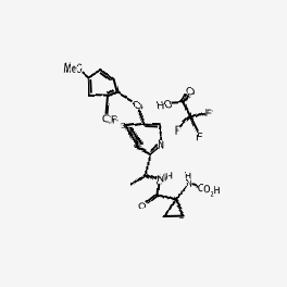 COc1ccc(Oc2ccc(C(C)NC(=O)C3(NC(=O)O)CC3)nc2)c(C(F)(F)F)c1.O=C(O)C(F)(F)F